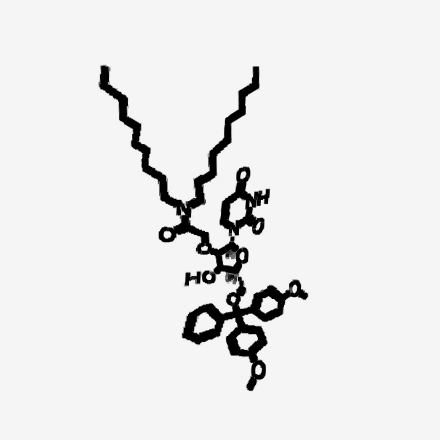 CCCCCCCCCCN(CCCCCCCCCC)C(=O)COC1C(O)[C@@H](COC(c2ccccc2)(c2ccc(OC)cc2)c2ccc(OC)cc2)O[C@H]1n1ccc(=O)[nH]c1=O